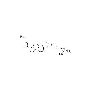 CC(C)CCC[C@@H](C)[C@H]1CCC2C3CC=C4C[C@@H](SSCCNC(=N)N)CC[C@]4(C)C3CC[C@@]21C